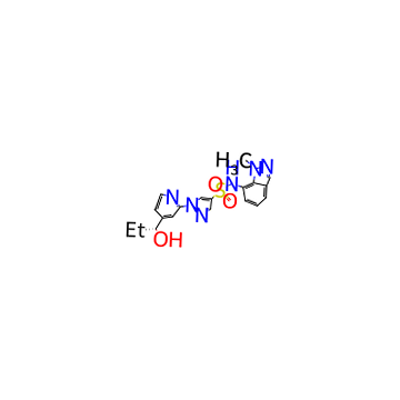 CC[C@@H](O)c1ccnc(-n2cc(S(=O)(=O)Nc3cccc4cnn(C)c34)cn2)c1